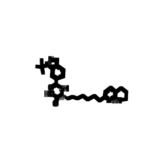 CC(C)(C)n1ncc2ccc(C(=O)N[C@H](CCCCCCCc3ccc4c(n3)NCCC4)C(=O)O)cc21